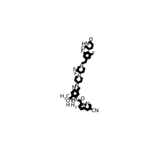 CC(C)(O)c1cc2nn(C3CCN([C@H]4CCN(CCc5cc(F)c([C@H]6CCC(=O)NC6=O)c(F)c5)CC4(F)F)CC3)cc2cc1NC(=O)c1ccc2cc(C#N)cnn12